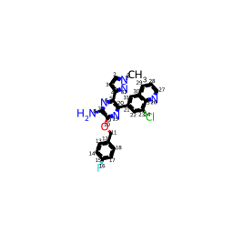 Cn1ccc(-c2nc(N)c(OCc3ccc(F)cc3)nc2-c2cc(Cl)c3ncccc3c2)n1